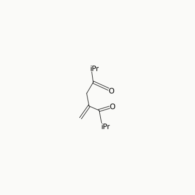 C=C(CC(=O)C(C)C)C(=O)C(C)C